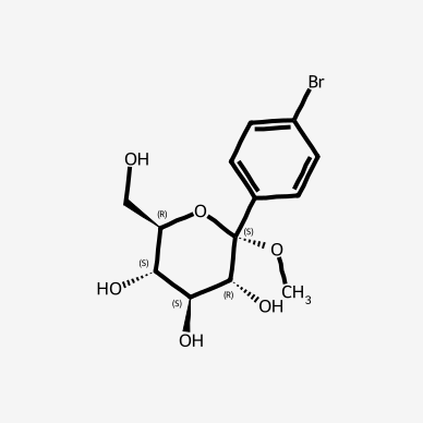 CO[C@@]1(c2ccc(Br)cc2)O[C@H](CO)[C@@H](O)[C@H](O)[C@H]1O